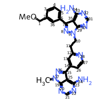 COCc1cccc(-c2nn(CCc3cc(-c4nn(C)c5ncnc(N)c45)ccn3)c3ncnc(N)c23)c1